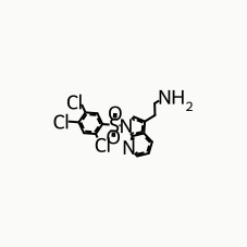 NCCc1cn(S(=O)(=O)c2cc(Cl)c(Cl)cc2Cl)c2ncccc12